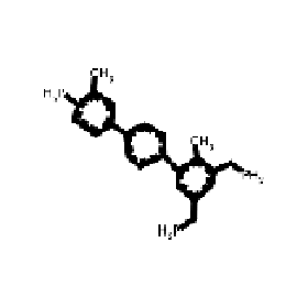 Cc1cc(-c2ccc(-c3cc(CP)cc(CP)c3C)cc2)ccc1P